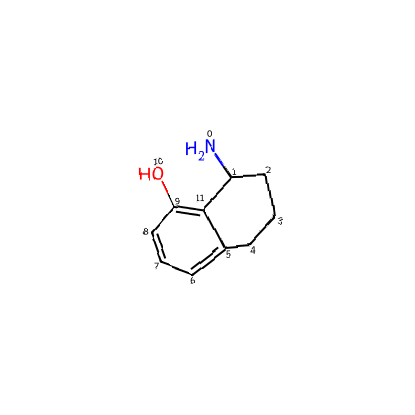 NC1CCCc2cccc(O)c21